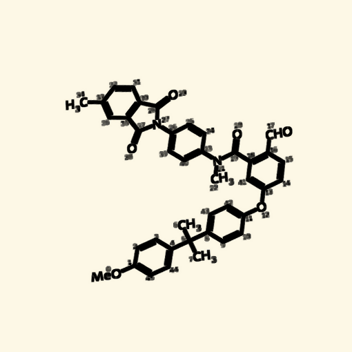 COc1ccc(C(C)(C)c2ccc(Oc3ccc(C=O)c(C(=O)N(C)c4ccc(N5C(=O)c6ccc(C)cc6C5=O)cc4)c3)cc2)cc1